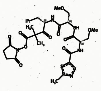 COC[C@H](NC(=O)c1cnc(C)s1)C(=O)N[C@@H](COC)C(=O)N[C@@H](CC(C)C)C(=O)C(C)(C)C(=O)ON1C(=O)CCC1=O